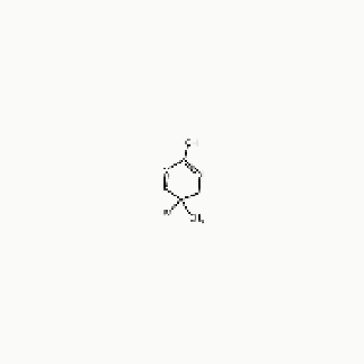 CC1(O)C=NC(O)=NC1